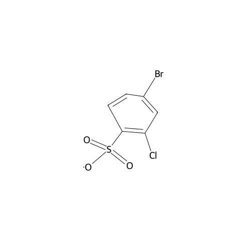 [O]S(=O)(=O)c1ccc(Br)cc1Cl